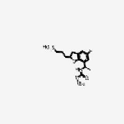 C[C@@H](NC(=O)OC(C)(C)C)c1cc(F)cc2c1OC(CCCS(=O)(=O)O)C2